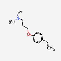 C=Cc1ccc(OCCCN(CCC)C(C)(C)C)cc1